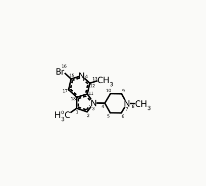 Cc1cn(C2CCN(C)CC2)c2c(C)nc(Br)cc12